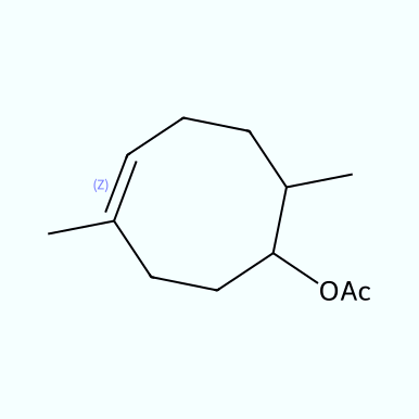 CC(=O)OC1CC/C(C)=C\CCC1C